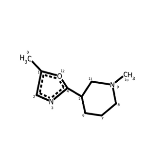 Cc1cnc(C2CCCN(C)C2)o1